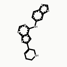 C1=C(c2cc3c(Nc4ccc5scnc5c4)ncnc3s2)CNCC1